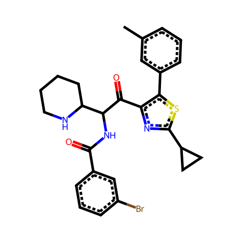 Cc1cccc(-c2sc(C3CC3)nc2C(=O)C(NC(=O)c2cccc(Br)c2)C2CCCCN2)c1